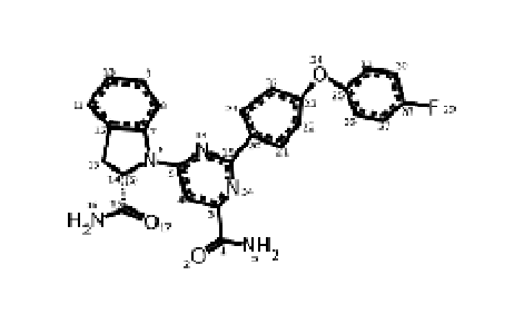 NC(=O)c1cc(N2c3ccccc3C[C@H]2C(N)=O)nc(-c2ccc(Oc3ccc(F)cc3)cc2)n1